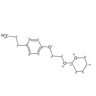 CCCc1ccc(OCCOC2CCCCO2)cc1